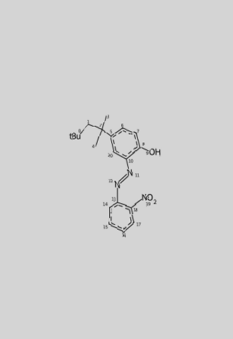 CC(C)(C)CC(C)(C)c1ccc(O)c(/N=N/c2ccccc2[N+](=O)[O-])c1